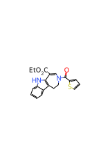 CCOC(=O)C1=CN(C(=O)c2cccs2)CCc2c1[nH]c1ccccc21